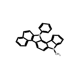 Cn1c2ccccc2c2c1ccc1c3c4ccccc4ccc3n(-c3ccccc3)c12